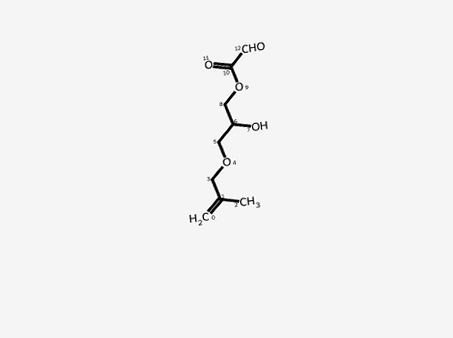 C=C(C)COCC(O)COC(=O)C=O